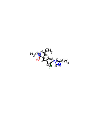 Cc1cn(-c2ccc(/C=C3\C[C@H](C)CN(C)C3=O)cc2F)cn1